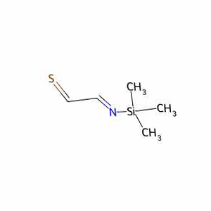 C[Si](C)(C)N=CC=S